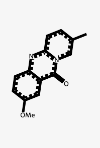 COc1ccc2nc3ccc(C)cn3c(=O)c2c1